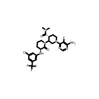 CN(C)C(=O)[C@@H]1CCN(c2ncnc(N)c2F)CC1N1CCC[C@H](Nc2cc(Cl)cc(C(F)(F)F)c2)C1=O